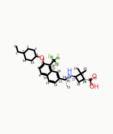 CCC1CCC(Oc2ccc3ccc([C@@H](C)NC4C[C@@H](C(=O)O)C4(C)C)cc3c2C(F)(F)F)CC1